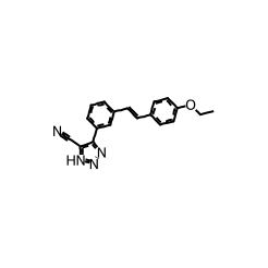 CCOc1ccc(C=Cc2cccc(-c3nn[nH]c3C#N)c2)cc1